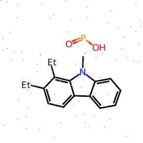 CCc1ccc2c3ccccc3n(C)c2c1CC.O=PO